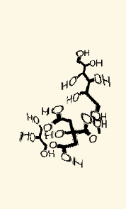 CO.O=C(O)CC(O)(CC(=O)O)C(=O)O.OCC(O)C(O)C(O)C(O)CO.OCC(O)CO